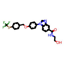 O=C(NCCO)c1ccc2c(c1)ncn2-c1ccc(OCc2ccc(SC(F)(F)F)cc2)cc1